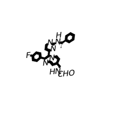 C[C@H](Nc1nccc(-c2c(-c3ccc(F)cc3)nc3cc(CNC=O)ccn23)n1)c1ccccc1